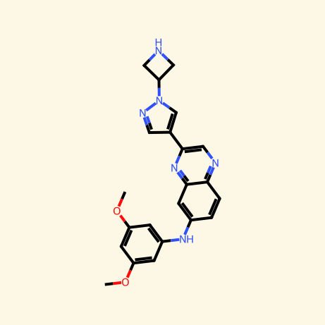 COc1cc(Nc2ccc3ncc(-c4cnn(C5CNC5)c4)nc3c2)cc(OC)c1